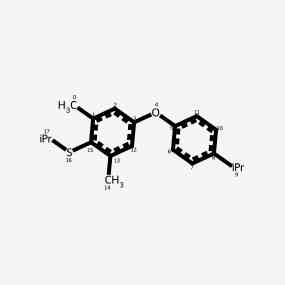 Cc1cc(Oc2ccc(C(C)C)cc2)cc(C)c1SC(C)C